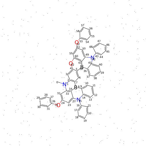 CN1c2cc3c(cc2B2c4ccccc4N(c4ccccc4)c4cc(Oc5ccccc5)cc1c42)B1c2ccccc2N(c2ccccc2)c2cc(Oc4ccccc4)cc(c21)O3